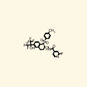 Cc1ccc(S(=O)(=O)N2c3ccc(C(O)(C(F)(F)F)C(F)(F)F)cc3CC[C@H]2CNC(=O)c2ccnc(F)c2)cc1